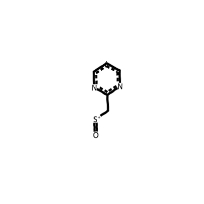 O=[S+]Cc1nc[c]cn1